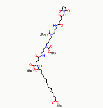 CC(C)(C)OC(=O)CCCCCCCCCCCCCC(=O)N[C@@H](CCC(=O)NCCCN(CCCCN(CCCNC(=O)CCC(=O)ON1C(=O)CCC1=O)C(=O)OC(C)(C)C)C(=O)OC(C)(C)C)C(=O)OC(C)(C)C